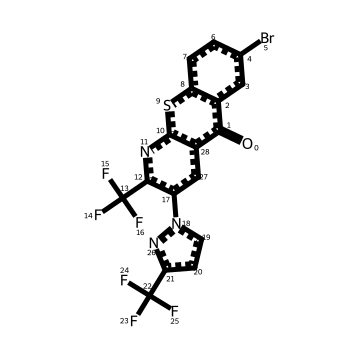 O=c1c2cc(Br)ccc2sc2nc(C(F)(F)F)c(-n3ccc(C(F)(F)F)n3)cc12